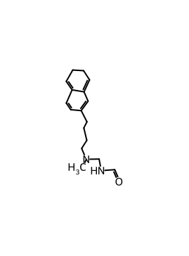 CN(CCCCc1ccc2c(c1)=CCCC=2)CNC=O